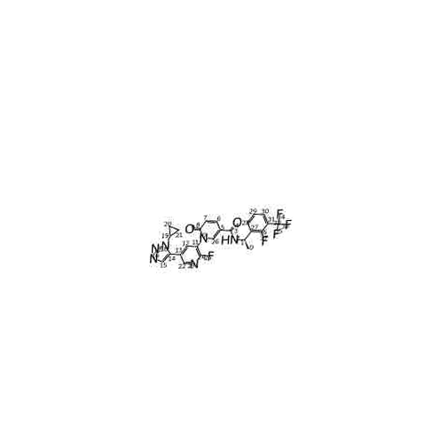 C[C@@H](NC(=O)c1ccc(=O)n(-c2cc(-c3cnnn3C3CC3)cnc2F)c1)c1cccc(C(F)(F)F)c1F